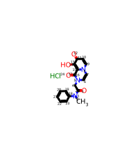 CN(C(=O)Cn1ccn2ccc(=O)c(O)c2c1=O)c1ccccc1.Cl